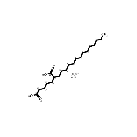 CCCCCCCCCCCCCCC(CCCCC(=O)[O-])C(=O)[O-].[Li+].[Li+]